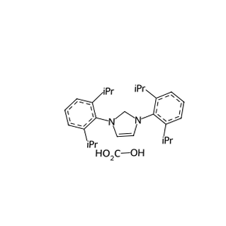 CC(C)c1cccc(C(C)C)c1N1C=CN(c2c(C(C)C)cccc2C(C)C)C1.O=C(O)O